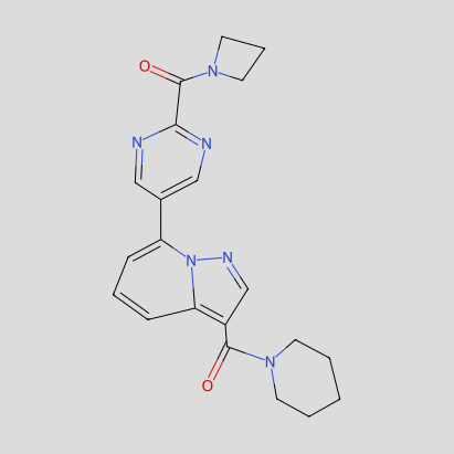 O=C(c1ncc(-c2cccc3c(C(=O)N4CCCCC4)cnn23)cn1)N1CCC1